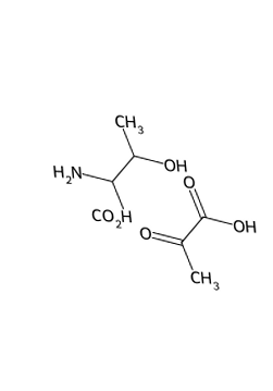 CC(=O)C(=O)O.CC(O)C(N)C(=O)O